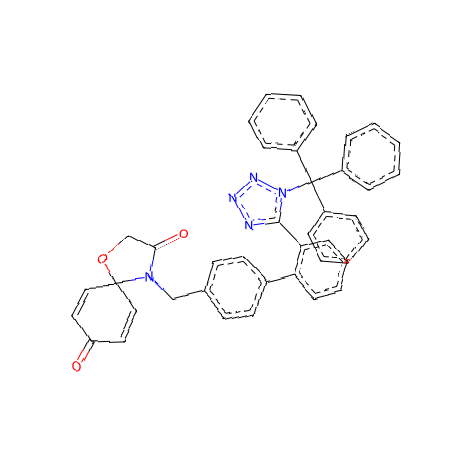 O=C1C=CC2(C=C1)OCC(=O)N2Cc1ccc(-c2ccccc2-c2nnnn2C(c2ccccc2)(c2ccccc2)c2ccccc2)cc1